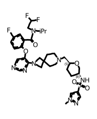 CC(C)N(CC(F)F)C(=O)c1cc(F)ccc1Oc1cncnc1N1CC2(CCN(C[C@@H]3CC[C@@H](NS(=O)(=O)c4cnn(C)c4)CO3)CC2)C1